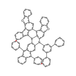 c1ccc(-c2cc(-c3ccccc3)cc(N3c4cc5c(-c6ccccc6)c6ccccc6c(-c6ccccc6)c5cc4B4c5c3cc3oc6ccccc6c3c5-c3cc5c6ccccc6oc5c5c6ccccc6n4c35)c2)cc1